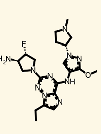 CCc1cnc2c(Nc3cn([C@@H]4CCN(C)C4)nc3OC)nc(N3C[C@@H](N)[C@H](F)C3)nn12